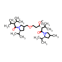 COC(CCOCC1C[C@@H](C(C)C)N(C(=O)C(C(C)C)C(C)C)C1)[C@@H](C(=O)N1CC(C)C[C@H]1C(C)C)C(C)C